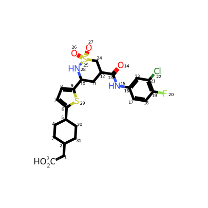 O=C(O)CC1CCC(c2ccc(C3CC(C(=O)Nc4ccc(F)c(Cl)c4)CS(=O)(=O)N3)s2)CC1